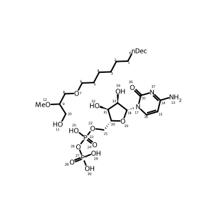 CCCCCCCCCCCCCCCCOCC(CO)OC.Nc1ccn([C@@H]2O[C@H](COP(=O)(O)OP(=O)(O)O)[C@@H](O)[C@H]2O)c(=O)n1